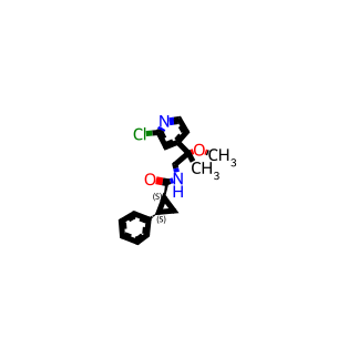 COC(C)(CNC(=O)[C@H]1C[C@@H]1c1ccccc1)c1ccnc(Cl)c1